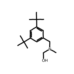 CN(CO)Cc1cc(C(C)(C)C)cc(C(C)(C)C)c1